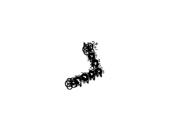 [Ni+2].[O-][Cl+3]([O-])([O-])[O-].[O-][Cl+3]([O-])([O-])[O-].c1ccncc1.c1ccncc1.c1ccncc1.c1ccncc1.c1ccncc1.c1ccncc1